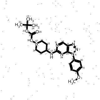 COc1ccc(-n2nnc3cnc(NC4CCN(OC(=O)OC(C)(C)C)CC4)nc32)cc1